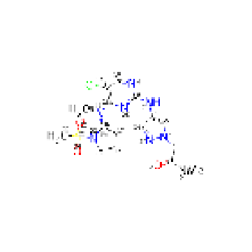 CNC(=O)Cn1cc(Nc2ncc(Cl)c(N(C)[C@H]3CCCN3S(C)(=O)=O)n2)cn1